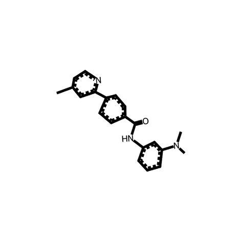 Cc1ccnc(-c2ccc(C(=O)Nc3cccc(N(C)C)c3)cc2)c1